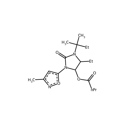 CCCC(=O)OC1C(CC)N(C(C)(C)CC)C(=O)N1c1cc(C)no1